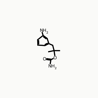 CC(C)(Cc1cccc(N)c1)OC(N)=O